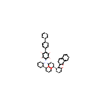 Bc1c(B)c(N(c2ccc(-c3cccc4oc5c6ccccc6ccc5c34)cc2)c2ccccc2-c2ccccc2)c(B)c(B)c1-c1ccc(-c2ccccc2)cc1